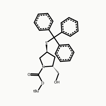 CC(C)(C)OC(=O)N1C[C@@H](SC(c2ccccc2)(c2ccccc2)c2ccccc2)C[C@@H]1CO